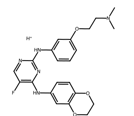 CN(C)CCOc1cccc(Nc2ncc(F)c(Nc3ccc4c(c3)OCCO4)n2)c1.[H+]